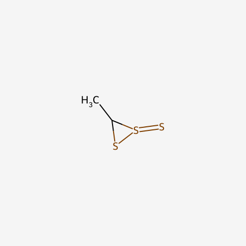 CC1SS1=S